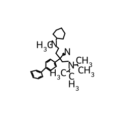 CC(C)N(CCC(C#N)(CCN(C)C1CCCCC1)c1ccc(-c2ccccc2)cc1)C(C)C